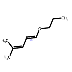 CCCO/C=C/C=C(C)C